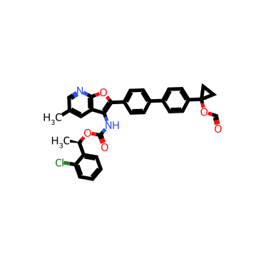 Cc1cnc2oc(-c3ccc(-c4ccc(C5(OC=O)CC5)cc4)cc3)c(NC(=O)O[C@H](C)c3ccccc3Cl)c2c1